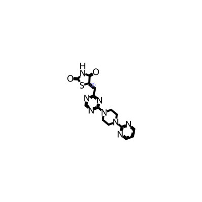 O=C1NC(=O)/C(=C/c2ncnc(N3CCN(c4ncccn4)CC3)n2)S1